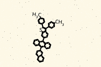 Cc1ccc(-c2sc3cc(-c4c5ccccc5c(-c5ccc6ccccc6c5)c5ccccc45)ccc3c2-c2ccc(C)cc2)cc1